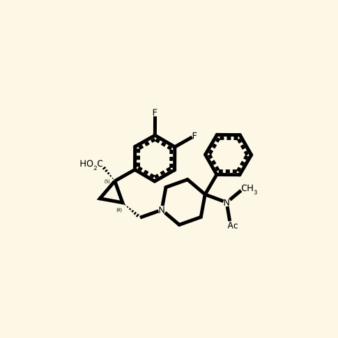 CC(=O)N(C)C1(c2ccccc2)CCN(C[C@@H]2C[C@@]2(C(=O)O)c2ccc(F)c(F)c2)CC1